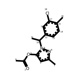 CC(=O)Oc1cc(C)nn1C(C)c1ccc(C)c(Cl)c1